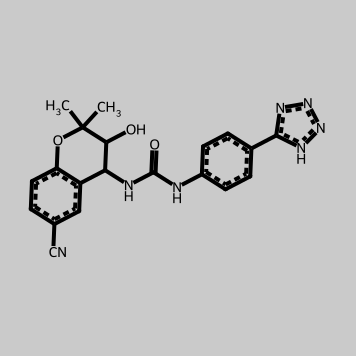 CC1(C)Oc2ccc(C#N)cc2C(NC(=O)Nc2ccc(-c3nnn[nH]3)cc2)C1O